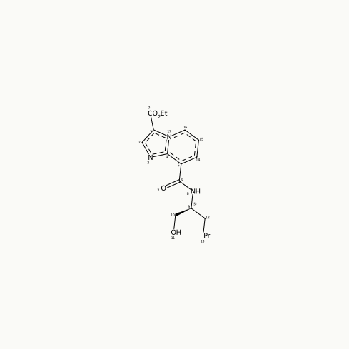 CCOC(=O)c1cnc2c(C(=O)N[C@H](CO)CC(C)C)cccn12